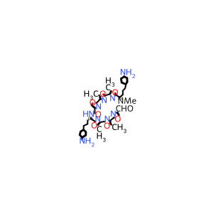 CN[C@@H](CCCc1ccc(N)cc1)c1nc(-c2nc(-c3nc(C(=O)N[C@@H](CCCc4ccc(N)cc4)c4nc(-c5nc(-c6nc(C=O)co6)c(C)o5)c(C)o4)co3)c(C)o2)c(C)o1